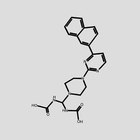 O=C(O)NC(NC(=O)O)N1CCN(c2nccc(-c3ccc4ccccc4c3)n2)CC1